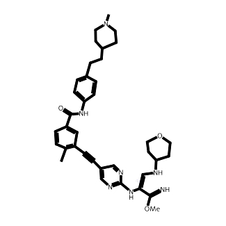 COC(=N)/C(=C\NC1CCOCC1)Nc1ncc(C#Cc2cc(C(=O)Nc3ccc(CCC4CCN(C)CC4)cc3)ccc2C)cn1